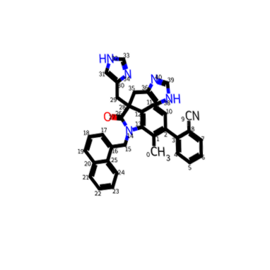 Cc1c(-c2ccccc2C#N)ccc2c1N(Cc1cccc3ccccc13)C(=O)C2(Cc1c[nH]cn1)Cc1c[nH]cn1